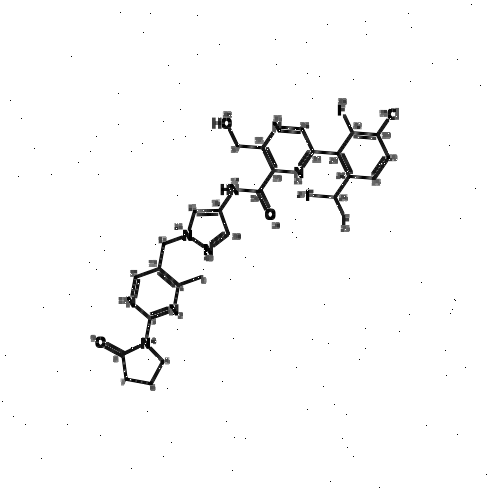 Cc1nc(N2CCCC2=O)ncc1Cn1cc(NC(=O)c2nc(-c3c(C(F)F)ccc(Cl)c3F)cnc2CO)cn1